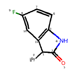 CC(C)C1C(=O)Nc2ccc(F)cc21